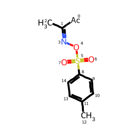 CC(=O)/C(C)=N\OS(=O)(=O)c1ccc(C)cc1